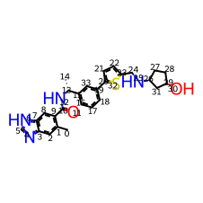 Cc1cc2nc[nH]c2cc1C(=O)N[C@H](C)c1cccc(-c2ccc(CN[C@H]3CC[C@@H](O)C3)s2)c1